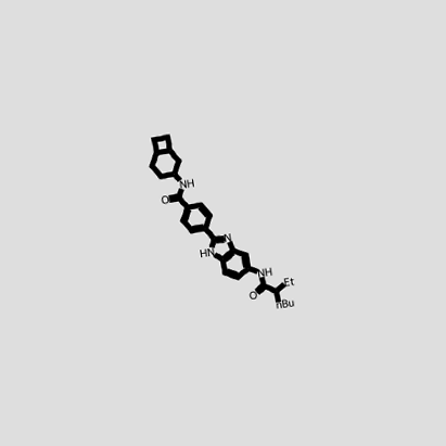 CCCCC(CC)C(=O)Nc1ccc2[nH]c(-c3ccc(C(=O)NC4CCC5CCC5C4)cc3)nc2c1